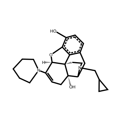 Oc1ccc2c3c1O[C@@H]1C(N4CCCCC4)=CC[C@]4(O)C(C2)N(CC2CC2)CC[C@@]314